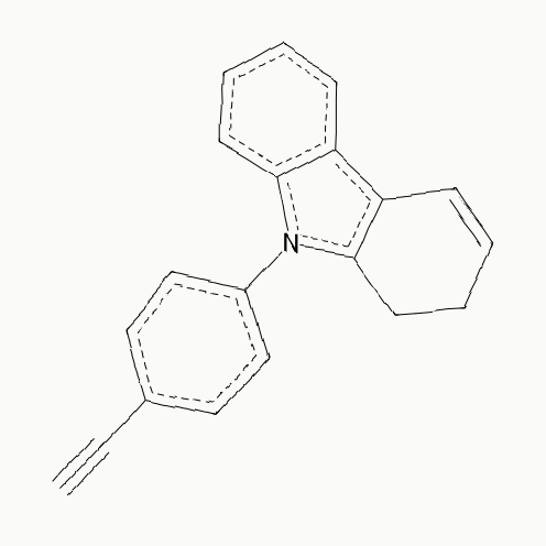 C#Cc1ccc(-n2c3c(c4ccccc42)C=CCC3)cc1